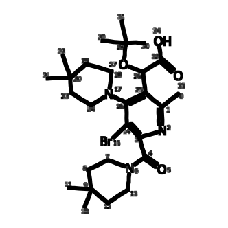 Cc1nc(C(=O)N2CCC(C)(C)CC2)c(Br)c(N2CCC(C)(C)CC2)c1C(OC(C)(C)C)C(=O)O